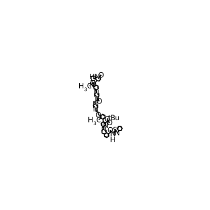 Cc1c(OCCN2CCN(CC(=O)N3CCN(c4ccc5c(C6CCC(=O)NC6=O)nn(C)c5c4)CC3)CC2)cccc1-c1ccc(N2CCc3cccc(C(=O)Nc4nc5ccccc5s4)c3C2)nc1C(=O)OC(C)(C)C